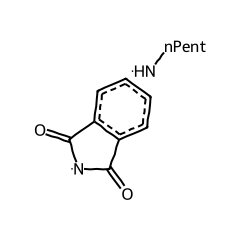 CCCCC[NH].O=C1[N]C(=O)c2ccccc21